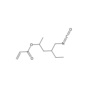 C=CC(=O)OC(C)CC(CC)CN=C=O